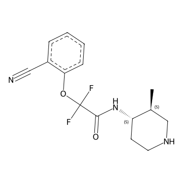 C[C@H]1CNCC[C@@H]1NC(=O)C(F)(F)Oc1ccccc1C#N